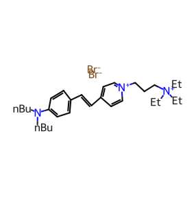 CCCCN(CCCC)c1ccc(C=Cc2cc[n+](CCC[N+](CC)(CC)CC)cc2)cc1.[Br-].[Br-]